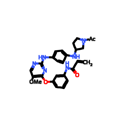 C=CC(=O)Nc1cccc(Oc2nc(Nc3ccc(NC4CCN(C(C)=O)C4)cc3)ncc2OC)c1